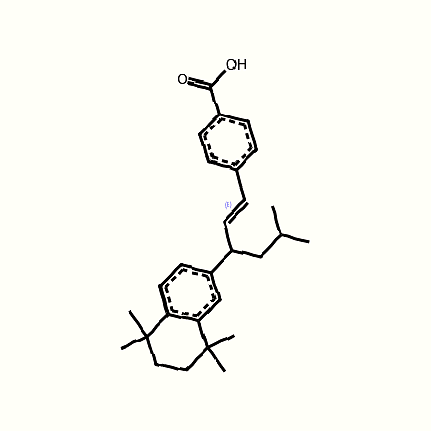 CC(C)CC(/C=C/c1ccc(C(=O)O)cc1)c1ccc2c(c1)C(C)(C)CCC2(C)C